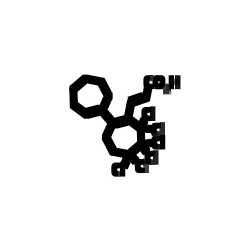 O=C(O)C=CC1=C(C2=CCCCCC2)CCC(Cl)(Cl)C(Cl)(Cl)C1(Cl)Cl